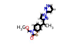 COCn1c(=O)sc2cc(C(C)c3ccn(-c4cccnn4)n3)ccc21